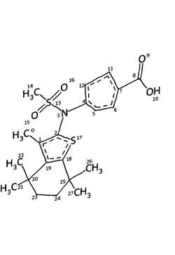 Cc1c(N(c2ccc(C(=O)O)cc2)S(C)(=O)=O)sc2c1C(C)(C)CCC2(C)C